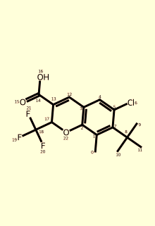 Cc1c2c(cc(Cl)c1C(C)(C)C)C=C(C(=O)O)C(C(F)(F)F)O2